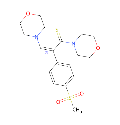 CS(=O)(=O)c1ccc(/C(=C/N2CCOCC2)C(=S)N2CCOCC2)cc1